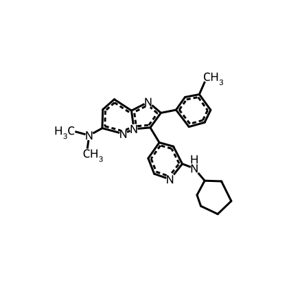 Cc1cccc(-c2nc3ccc(N(C)C)nn3c2-c2ccnc(NC3CCCCC3)c2)c1